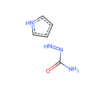 N=NC(N)=O.c1cc[nH]c1